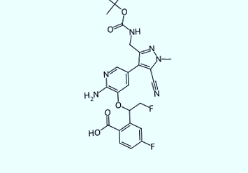 Cn1nc(CNC(=O)OC(C)(C)C)c(-c2cnc(N)c(OC(CF)c3cc(F)ccc3C(=O)O)c2)c1C#N